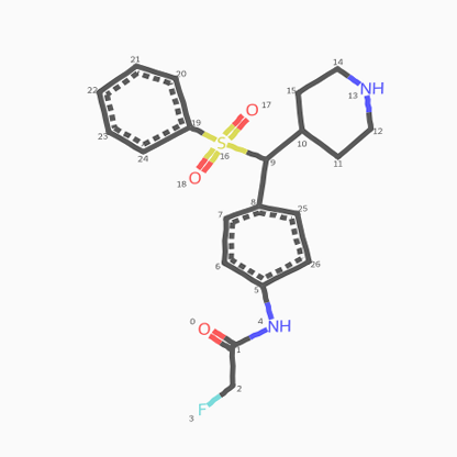 O=C(CF)Nc1ccc(C(C2CCNCC2)S(=O)(=O)c2ccccc2)cc1